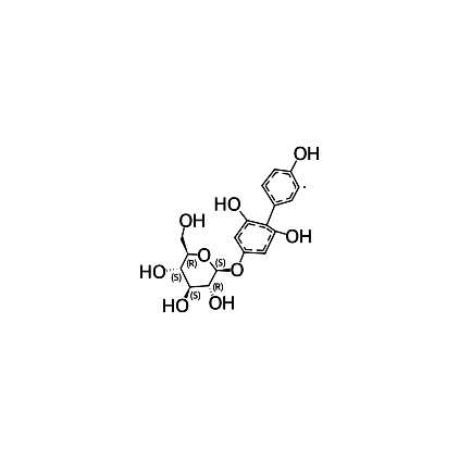 OC[C@H]1O[C@@H](Oc2cc(O)c(-c3c[c]c(O)cc3)c(O)c2)[C@H](O)[C@@H](O)[C@@H]1O